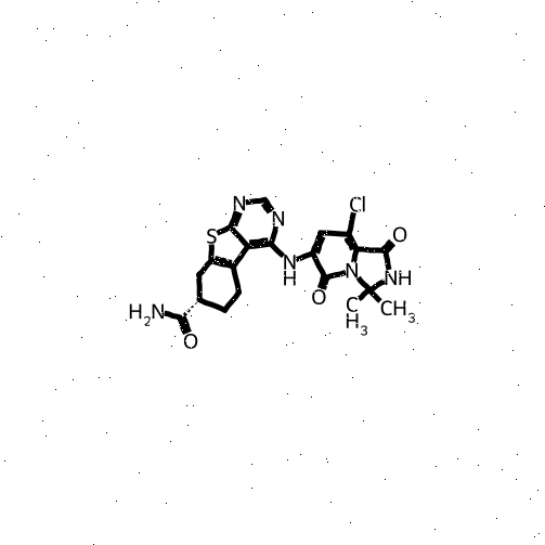 CC1(C)NC(=O)c2c(Cl)cc(Nc3ncnc4sc5c(c34)CC[C@H](C(N)=O)C5)c(=O)n21